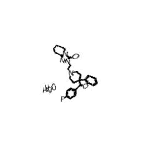 Cl.O.O=C(c1ccc(F)cc1)C1(c2ccccc2)CCN(CCn2nc3n(c2=O)CCCC3)CC1